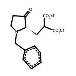 CCOC(=O)C(C[C@H]1C(=O)CCN1Cc1ccccc1)C(=O)OCC